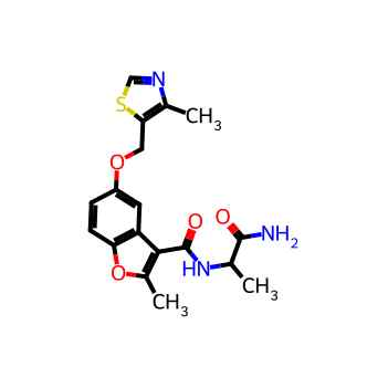 Cc1ncsc1COc1ccc2oc(C)c(C(=O)NC(C)C(N)=O)c2c1